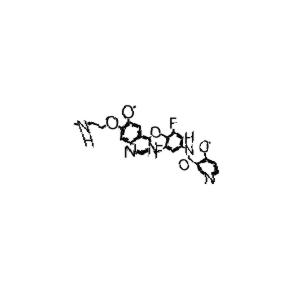 CNCCOc1cc2ncnc(Oc3c(F)cc(NC(=O)c4cnccc4OC)cc3F)c2cc1OC